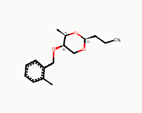 Cc1ccccc1CO[C@@H]1CO[C@H](CCC#N)O[C@@H]1C